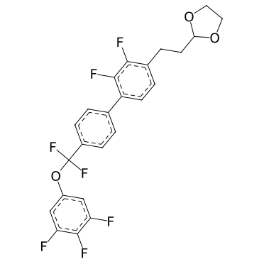 Fc1cc(OC(F)(F)c2ccc(-c3ccc(CCC4OCCO4)c(F)c3F)cc2)cc(F)c1F